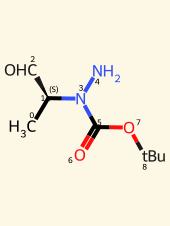 C[C@@H](C=O)N(N)C(=O)OC(C)(C)C